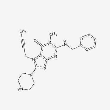 CC#CCn1c(N2CCNCC2)nc2nc(NCc3ccccc3)n(C)c(=O)c21